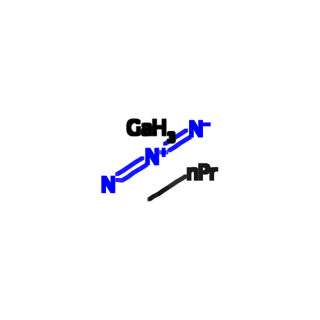 CCCC.[GaH3].[N-]=[N+]=[N-]